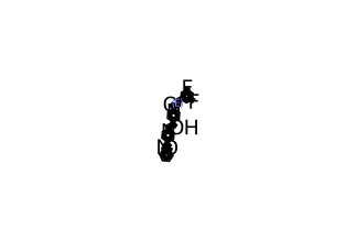 O=C(/C=C/c1cc(F)cc(F)c1)N1CCC(C(O)CN2CCC(c3nc4ccccc4o3)CC2)CC1